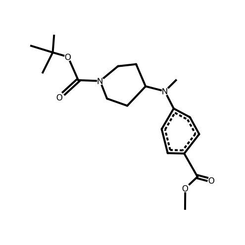 COC(=O)c1ccc(N(C)C2CCN(C(=O)OC(C)(C)C)CC2)cc1